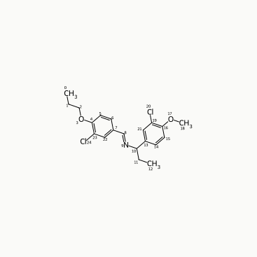 CCCOc1ccc(C=NC(CC)c2ccc(OC)c(Cl)c2)cc1Cl